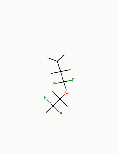 CC(C)C(C)(C)C(F)(F)OC(C)(C)C(C)(F)F